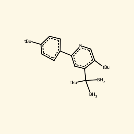 BC(B)(c1cc(-c2ccc(C(C)(C)C)cc2)ncc1C(C)(C)C)C(C)(C)C